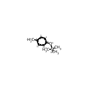 [CH2]c1ccc(O[Si](C)(C)C)cc1